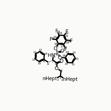 CCCCCCCC(CCCCCCC)COC(=O)[C@H](Cc1ccccc1)N[P@](=O)(Oc1ccccc1)Oc1c(F)c(F)c(F)c(F)c1F